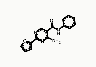 Nc1nc(-c2ccco2)ncc1C(=O)Nc1ccccc1